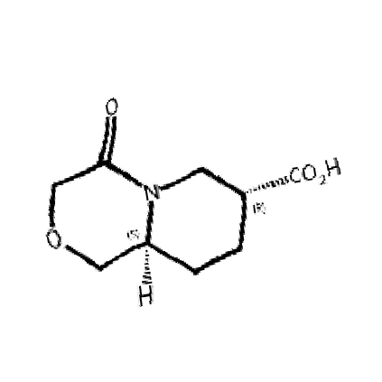 O=C(O)[C@@H]1CC[C@H]2COCC(=O)N2C1